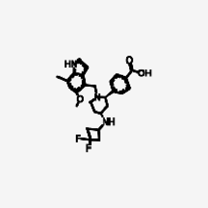 COc1cc(C)c2[nH]ccc2c1CN1CC[C@@H](NC2CC(F)(F)C2)C[C@@H]1c1ccc(C(=O)O)cc1